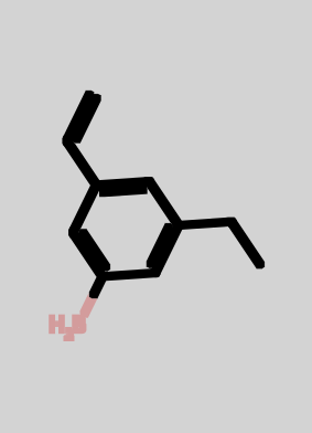 Bc1cc(C=C)cc(CC)c1